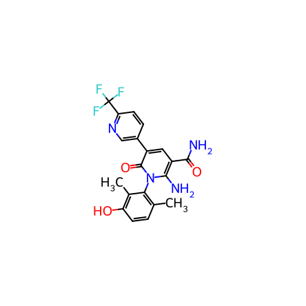 Cc1ccc(O)c(C)c1-n1c(N)c(C(N)=O)cc(-c2ccc(C(F)(F)F)nc2)c1=O